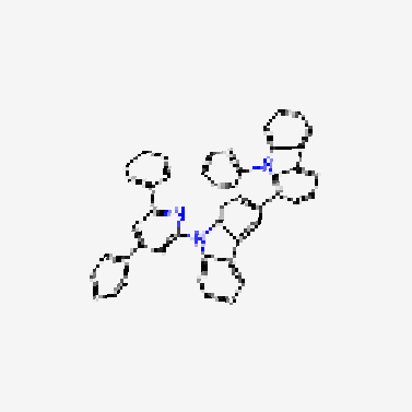 C1=CC(c2cc(-c3ccccc3)cc(-n3c4ccccc4c4cc(-c5cccc6c7ccccc7n(-c7ccccc7)c56)ccc43)n2)=CCC1